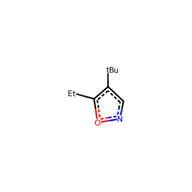 CCc1oncc1C(C)(C)C